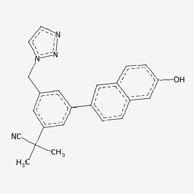 CC(C)(C#N)c1cc(Cn2ccnn2)cc(-c2ccc3cc(O)ccc3c2)c1